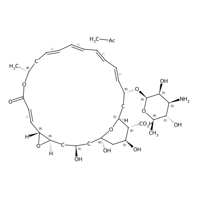 CC(C)=O.C[C@@H]1C/C=C/C=C/C=C/C=C/[C@H](O[C@@H]2O[C@H](C)[C@@H](O)[C@H](N)[C@@H]2O)C[C@@H]2O[C@](O)(C[C@@H](O)C[C@H]3O[C@@H]3/C=C/C(=O)O1)C[C@H](O)[C@H]2C(=O)O